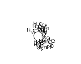 CCCOc1cnc(O[C@@H]2C[C@H]3C(=O)N[C@]4(C(=O)NS(=O)(=O)C5CC5)C[C@H]4/C=C\CC[C@@H](C)C[C@@H](C)[C@H](NC(=O)NC(C)(C)C(F)(F)F)C(=O)N3C2)c2ccccc12